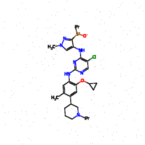 Cc1cc(Nc2ncc(Cl)c(Nc3cn(C)nc3[S+]([O-])C(C)C)n2)c(OC2CC2)cc1C1CCCN(C(C)C)C1